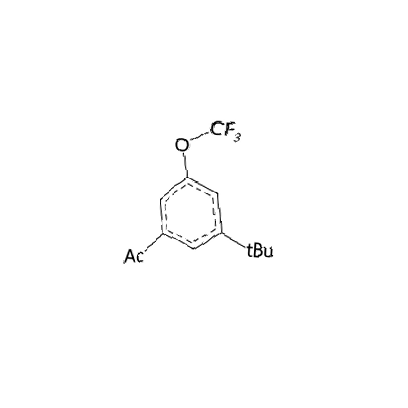 CC(=O)c1cc(OC(F)(F)F)cc(C(C)(C)C)c1